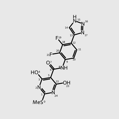 CSc1nc(O)c(C(=O)Nc2ccc(-c3c[nH]nn3)c(F)c2F)c(O)n1